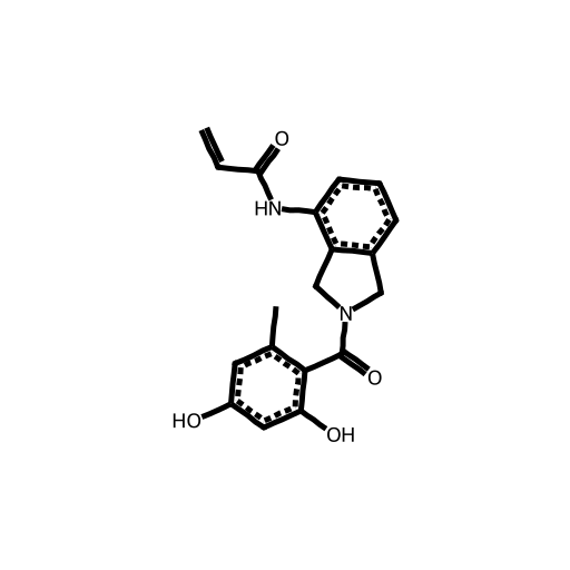 C=CC(=O)Nc1cccc2c1CN(C(=O)c1c(C)cc(O)cc1O)C2